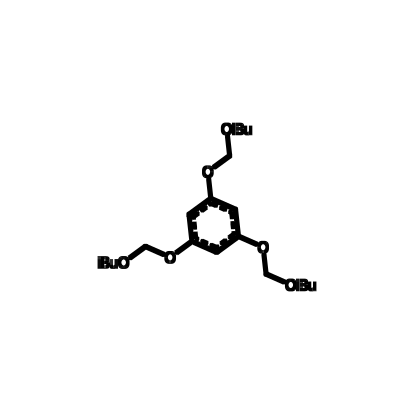 CC(C)COCOc1cc(OCOCC(C)C)cc(OCOCC(C)C)c1